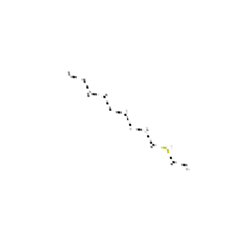 [CH2]CCCCCCCCSCC